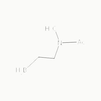 BCCN(C)C(C)=O